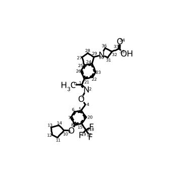 C/C(=N\OCc1ccc(OC2CCCC2)c(C(F)(F)F)c1)c1ccc2c(c1)CCC2N1CC(C(=O)O)C1